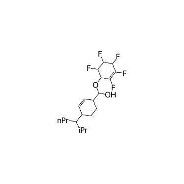 CCCC(C(C)C)C1C=CC(C(O)OC2C(F)=C(F)C(F)C(F)C2F)CC1